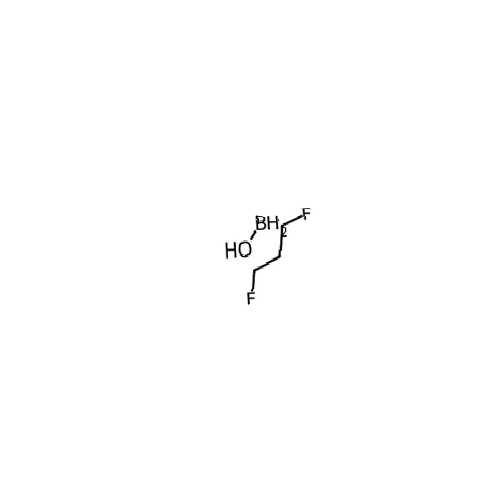 BO.FCCCF